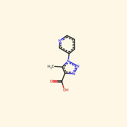 Cc1c(C(=O)O)nnn1-c1cccnc1